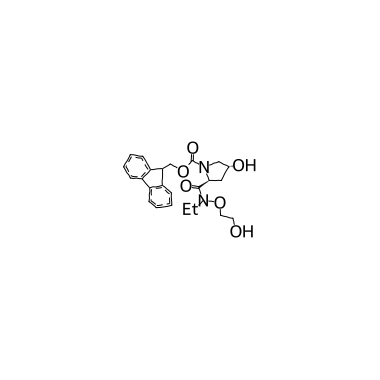 CCN(OCCO)C(=O)[C@@H]1C[C@@H](O)CN1C(=O)OCC1c2ccccc2-c2ccccc21